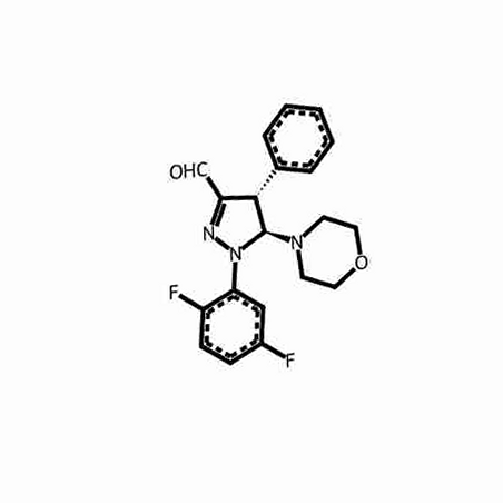 O=CC1=NN(c2cc(F)ccc2F)[C@H](N2CCOCC2)[C@H]1c1ccccc1